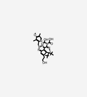 COc1c(C)cnc(Cn2nc3cc(CCO)c4c-3c(n2)C(N(C(=O)O)C(=O)O)=NSC4(C(C)(C)C)C(C)(C)C)c1C